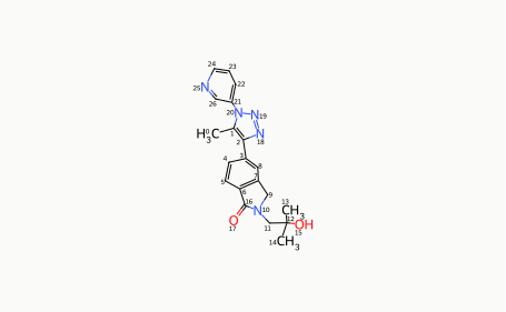 Cc1c(-c2ccc3c(c2)CN(CC(C)(C)O)C3=O)nnn1-c1cccnc1